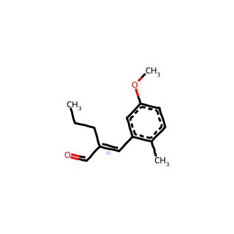 CCC/C(C=O)=C\c1cc(OC)ccc1C